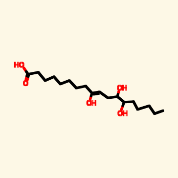 CCCCCC(O)C(O)CC=C(O)CCCCCCCC(=O)O